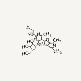 Cc1cc2cc(-c3c(C)nc(NCC4CC4)nc3N[C@@H]3C[C@H](CO)[C@@H](O)[C@H]3O)oc2c(C)n1